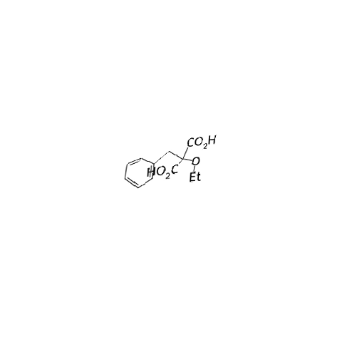 CCOC(Cc1ccccc1)(C(=O)O)C(=O)O